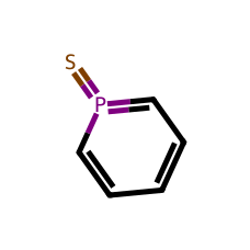 S=P1=CC=CC=C1